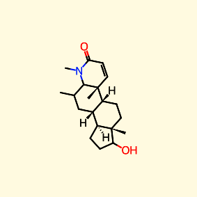 CC1C[C@@H]2[C@@H](CC[C@]3(C)C(O)CC[C@@H]23)[C@@]2(C)C=CC(=O)N(C)C12